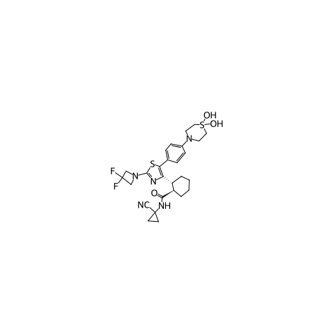 N#CC1(NC(=O)[C@@H]2CCCC[C@H]2c2nc(N3CC(F)(F)C3)sc2-c2ccc(N3CCS(O)(O)CC3)cc2)CC1